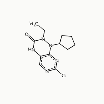 CCN1C(=O)Nc2cnc(Cl)nc2N1C1CCCC1